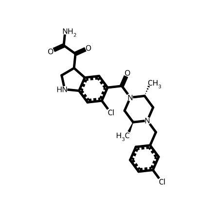 C[C@@H]1CN(Cc2cccc(Cl)c2)[C@@H](C)CN1C(=O)c1cc2c(cc1Cl)NCC2C(=O)C(N)=O